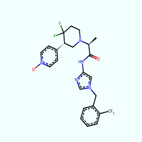 C[C@@H](C(=O)Nc1cn(Cc2ccccc2C(F)(F)F)cn1)N1CCC(F)(F)[C@@H](c2cc[n+]([O-])cc2)C1